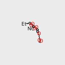 C=C(C)C(=O)OCCCCCCOc1ccc2cc(C(=O)Oc3ccc(C(=O)OC4CCCC(C#CCC)C4)cc3C#N)ccc2c1